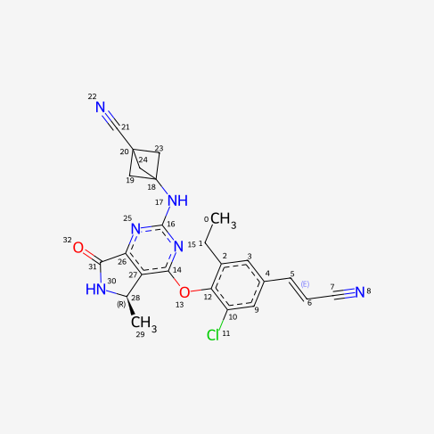 CCc1cc(/C=C/C#N)cc(Cl)c1Oc1nc(NC23CC(C#N)(C2)C3)nc2c1[C@@H](C)NC2=O